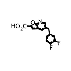 O=C(O)c1cc2cc(Cc3ccc(F)c(F)c3)cnc2o1